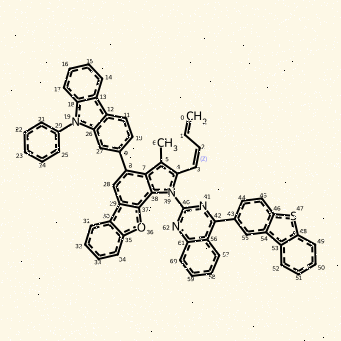 C=C/C=C\c1c(C)c2c(-c3ccc4c5ccccc5n(-c5ccccc5)c4c3)cc3c4ccccc4oc3c2n1-c1nc(-c2ccc3sc4ccccc4c3c2)c2ccccc2n1